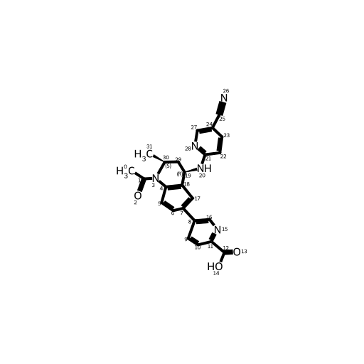 CC(=O)N1c2ccc(-c3ccc(C(=O)O)nc3)cc2[C@H](Nc2ccc(C#N)cn2)C[C@@H]1C